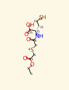 CCOC(=O)CSCC(=O)N[C@@H](CCS)C(=O)O